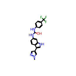 Cn1cc(-c2c[nH]c3cc(NC(O)Nc4ccc(C(F)(F)F)cc4)ccc23)cn1